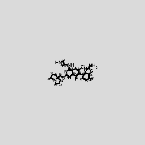 Nc1nc2c(-c3c(Cl)cc4c(NC5CNC5)nc(OCC56CCCN5CCC6)nc4c3F)ccc(F)c2s1